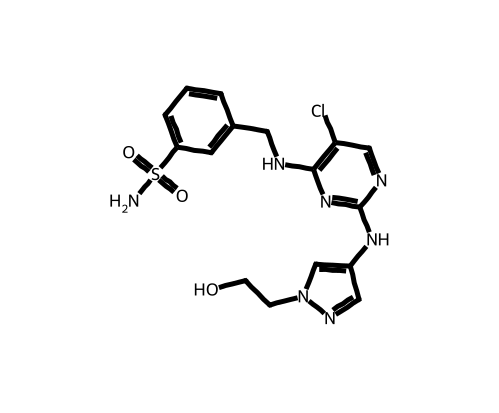 NS(=O)(=O)c1cccc(CNc2nc(Nc3cnn(CCO)c3)ncc2Cl)c1